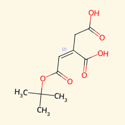 CC(C)(C)OC(=O)/C=C(/CC(=O)O)C(=O)O